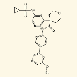 CCOc1cncc(-c2ccc(NC(=O)C3(c4cncc(NS(=O)(=O)C5CC5)n4)CCNCC3)nc2)n1